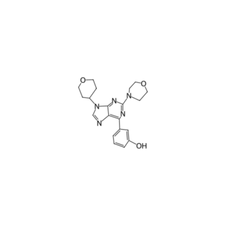 Oc1cccc(-c2nc(N3CCOCC3)nc3c2ncn3C2CCOCC2)c1